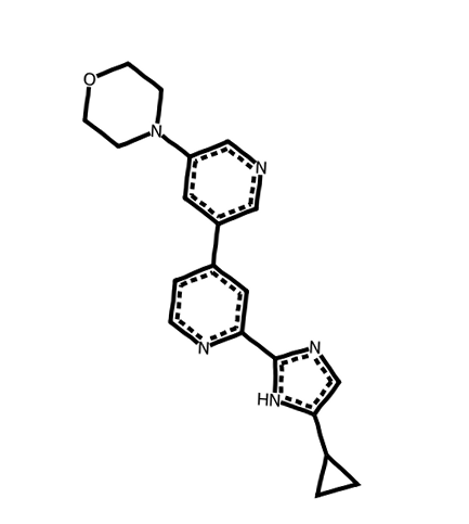 c1cc(-c2cncc(N3CCOCC3)c2)cc(-c2ncc(C3CC3)[nH]2)n1